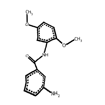 COc1ccc(OC)c(NC(=O)c2cccc(N)c2)c1